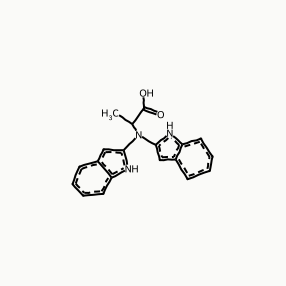 CC(C(=O)O)N(c1cc2ccccc2[nH]1)c1cc2ccccc2[nH]1